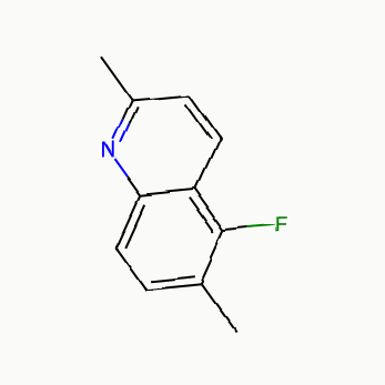 Cc1ccc2c(F)c(C)ccc2n1